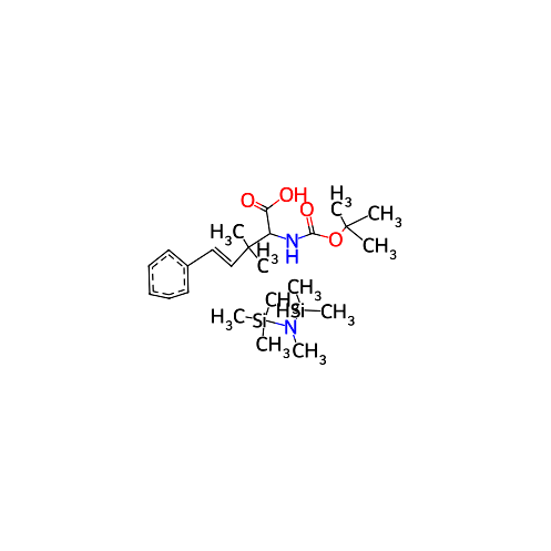 CC(C)(C)OC(=O)NC(C(=O)O)C(C)(C)C=Cc1ccccc1.CN([SiH](C)C)[Si](C)(C)C